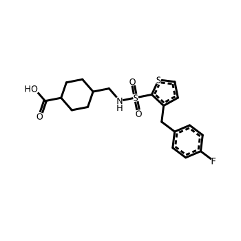 O=C(O)C1CCC(CNS(=O)(=O)c2sccc2Cc2ccc(F)cc2)CC1